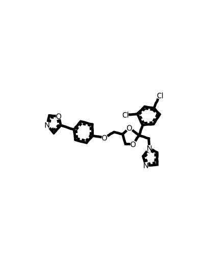 Clc1ccc(C2(Cn3ccnc3)OCC(COc3ccc(-c4cnco4)cc3)O2)c(Cl)c1